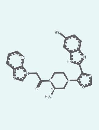 CC(C)c1ccc2nc(-c3ncsc3N3CCN(C(=O)Cn4cnc5cccnc54)[C@H](C)C3)[nH]c2c1